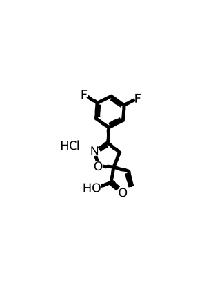 C=CC1(C(=O)O)CC(c2cc(F)cc(F)c2)=NO1.Cl